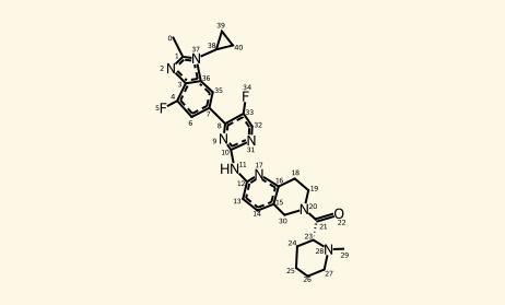 Cc1nc2c(F)cc(-c3nc(Nc4ccc5c(n4)CCN(C(=O)[C@H]4CCCCN4C)C5)ncc3F)cc2n1C1CC1